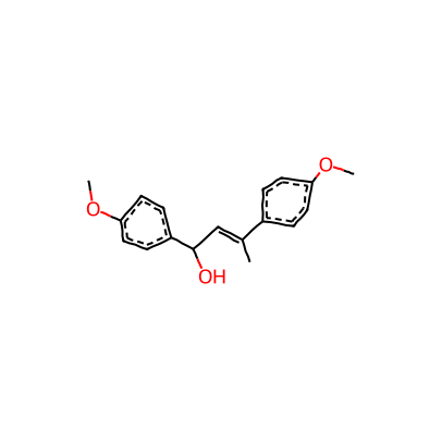 COc1ccc(/C(C)=C/C(O)c2ccc(OC)cc2)cc1